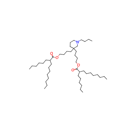 CCCCCCCCC(CCCCCC)C(=O)OCCCCC1(CCCCOC(=O)C(CCCCCC)CCCCCCCC)CCCN(CCCC)C1